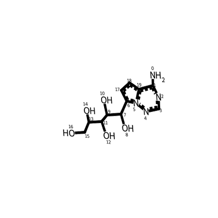 Nc1ncnn2c(C(O)C(O)C(O)C(O)CO)ccc12